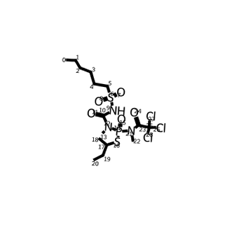 CCCCCCS(=O)(=O)NC(=O)N(C)P(=O)(SC(C)CC)N(C)C(=O)C(Cl)(Cl)Cl